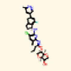 CCC/C(=N\c1nc(N[C@H]2CCc3cc(-c4cnnc(C)c4)cc(F)c32)c(Cl)cc1C)O[C@@H]1CO[C@@H]2C(O)CO[C@@H]21